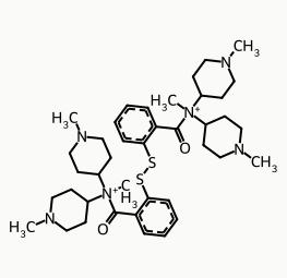 CN1CCC([N+](C)(C(=O)c2ccccc2SSc2ccccc2C(=O)[N+](C)(C2CCN(C)CC2)C2CCN(C)CC2)C2CCN(C)CC2)CC1